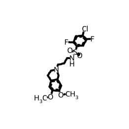 COc1cc2c(cc1OC)CN(CCCNS(=O)(=O)c1cc(F)c(Cl)cc1F)CC2